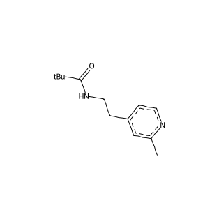 Cc1cc(CCNC(=O)C(C)(C)C)ccn1